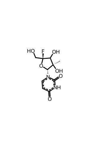 C[C@@]1(O)C(O)[C@@](F)(CO)O[C@H]1n1ccc(=O)[nH]c1=O